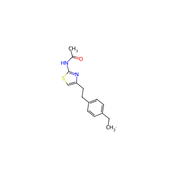 [CH2]Cc1ccc(CCc2csc(NC(C)=O)n2)cc1